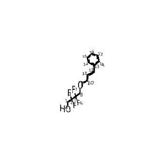 OCC(F)(F)C(F)(F)COCC=Cc1ccccc1